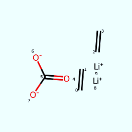 C=C.C=C.O=C([O-])[O-].[Li+].[Li+]